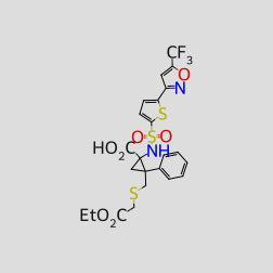 CCOC(=O)CSCC1(c2ccccc2)CC1(NS(=O)(=O)c1ccc(-c2cc(C(F)(F)F)on2)s1)C(=O)O